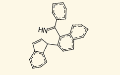 N=C(c1ccccc1)c1c(C2C=Cc3ccccc32)ccc2ccccc12